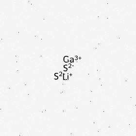 [Ga+3].[Li+].[S-2].[S-2]